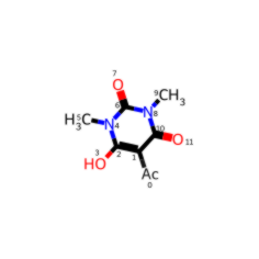 CC(=O)c1c(O)n(C)c(=O)n(C)c1=O